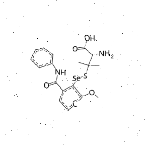 COc1cccc(C(=O)Nc2ccccc2)c1[Se]SC(C)(C)[C@@H](N)C(=O)O